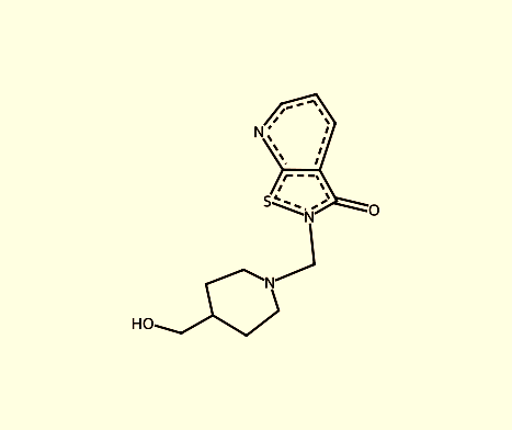 O=c1c2cccnc2sn1CN1CCC(CO)CC1